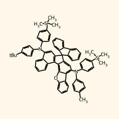 Cc1ccc(N(c2ccc([Si](C)(C)C)cc2)c2cc3c(c4oc5ccccc5c24)-c2c(cc(N(c4ccc(C(C)(C)C)cc4)c4ccc([Si](C)(C)C)cc4)c4ccccc24)C32c3ccccc3-c3ccccc32)cc1